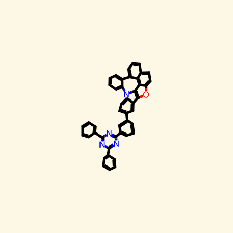 c1ccc(-c2nc(-c3ccccc3)nc(-c3cccc(-c4ccc5c(c4)c4oc6ccc7cccc8c9ccccc9n5c4c6c78)c3)n2)cc1